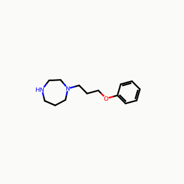 c1ccc(OCCCN2CCCNCC2)cc1